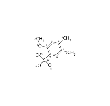 COc1cc(C)c(C)cc1S(=O)(=O)Cl